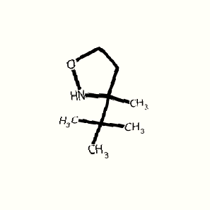 CC(C)(C)C1(C)CCON1